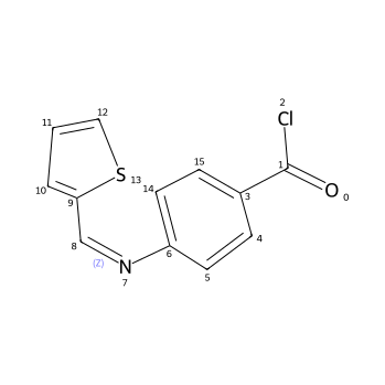 O=C(Cl)c1ccc(/N=C\c2cccs2)cc1